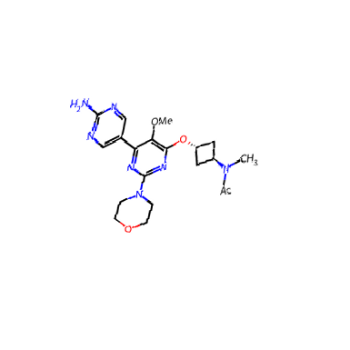 COc1c(O[C@H]2C[C@H](N(C)C(C)=O)C2)nc(N2CCOCC2)nc1-c1cnc(N)nc1